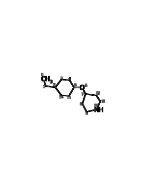 CCC1CCC(OC2CCNCC2)CC1